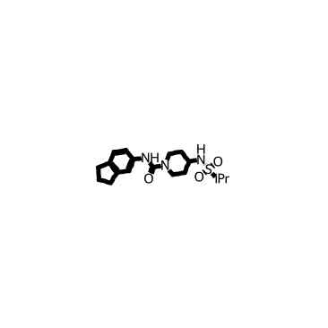 CC(C)S(=O)(=O)NC1CCN(C(=O)Nc2ccc3c(c2)CCC3)CC1